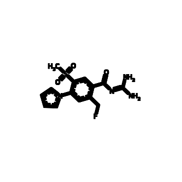 CS(=O)(=O)c1cc(C(=O)N=C(N)N)c(CF)cc1-n1cccc1